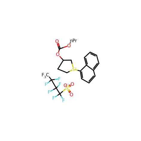 CCCOC(=O)OC1CC[S+](c2cccc3ccccc23)C1.O=S(=O)([O-])C(F)(F)C(F)(F)C(F)(F)C(F)(F)F